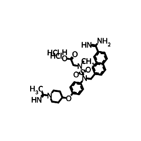 CC(=N)N1CCC(Oc2ccc(N(Cc3ccc4ccc(C(=N)N)cc4c3)S(=O)(=O)N(C)CC(=O)O)cc2)CC1.Cl.Cl